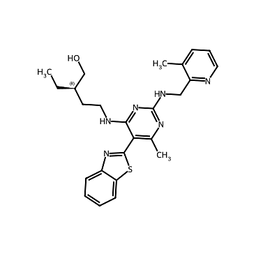 CC[C@@H](CO)CCNc1nc(NCc2ncccc2C)nc(C)c1-c1nc2ccccc2s1